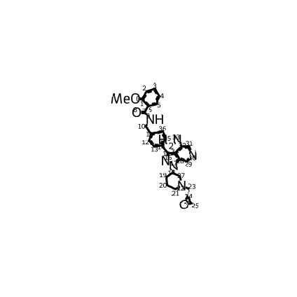 COc1ccccc1C(=O)NCc1ccc(-c2nn([C@@H]3CCCN(C[C@@H]4CO4)C3)c3cncc(N)c23)cc1